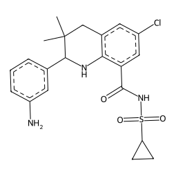 CC1(C)Cc2cc(Cl)cc(C(=O)NS(=O)(=O)C3CC3)c2NC1c1cccc(N)c1